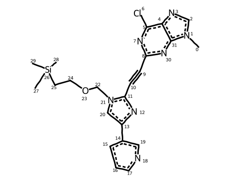 Cn1cnc2c(Cl)nc(C#Cc3nc(-c4cccnc4)cn3COCC[Si](C)(C)C)nc21